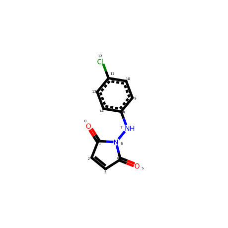 O=C1C=CC(=O)N1Nc1ccc(Cl)cc1